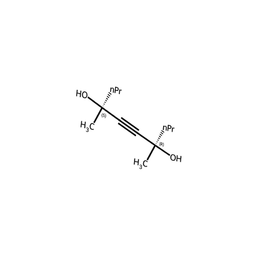 CCC[C@@](C)(O)C#C[C@@](C)(O)CCC